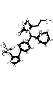 CCCc1n[nH]c(=O)n1C(c1ccc(-c2ccsc2S(=O)(=O)O)cc1)c1ccccn1